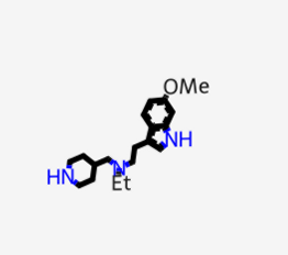 CCN(CCc1c[nH]c2cc(OC)ccc12)CC1CCNCC1